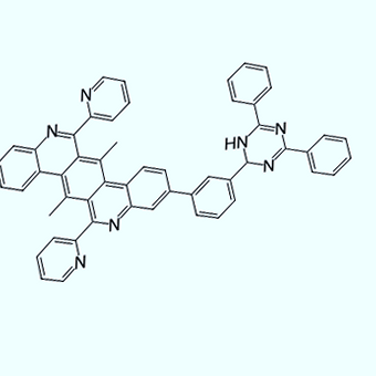 Cc1c2c(-c3ccccn3)nc3cc(-c4cccc(C5N=C(c6ccccc6)N=C(c6ccccc6)N5)c4)ccc3c2c(C)c2c(-c3ccccn3)nc3ccccc3c12